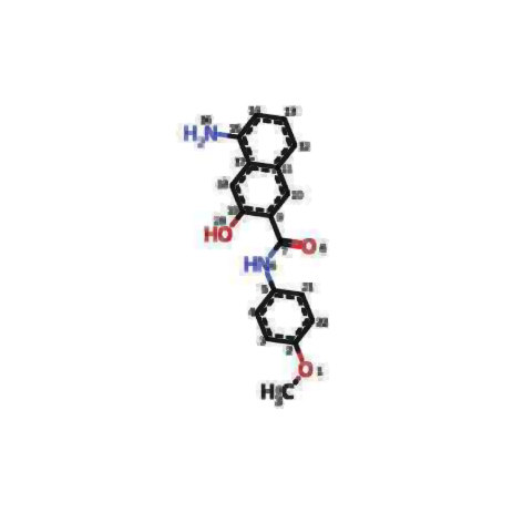 COc1ccc(NC(=O)c2cc3cccc(N)c3cc2O)cc1